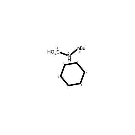 C1CCCCC1.CCCCNC(=O)O